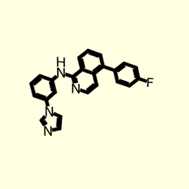 Fc1ccc(-c2cccc3c(Nc4cccc(-n5ccnc5)c4)nccc23)cc1